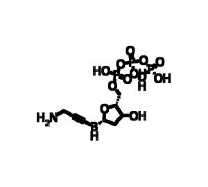 NCC#CB[C@H]1CC(O)[C@@H](COP(=O)(O)OP(=O)(O)OP(=O)(O)O)O1